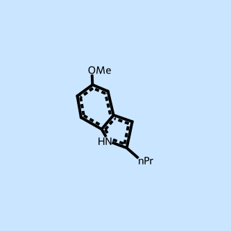 CCCc1cc2cc(OC)ccc2[nH]1